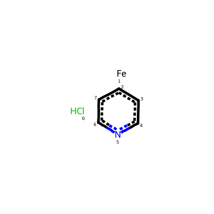 Cl.[Fe].c1ccncc1